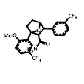 COc1ccc(C(F)(F)F)cc1C12CCC(O1)C(c1cccc(C(F)(F)F)c1)C2C(N)=O